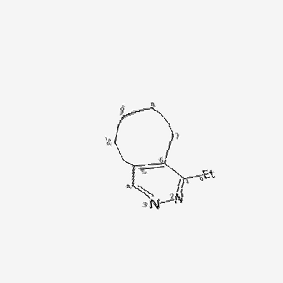 CCc1nncc2c1CCCC2